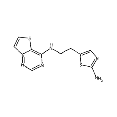 Nc1ncc(CCNc2ncnc3ccsc23)s1